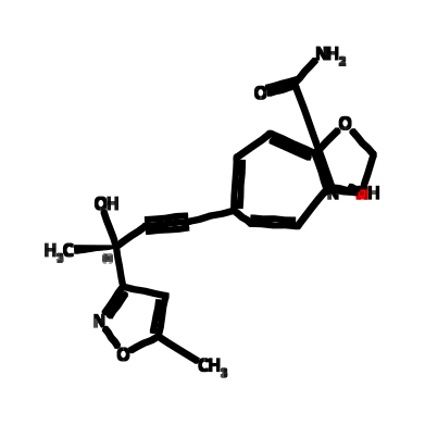 Cc1cc([C@](C)(O)C#CC2=CC=C3OCC4CNC(C(N)=O)=NC34C=C2)no1